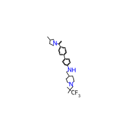 C=C(c1ccc(-c2ccc(NCC3CCN(CC(C)(C)C(F)(F)F)CC3)cc2)cc1)N1CCC(C)C1